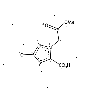 COC(=O)Cn1nc(C)cc1C(=O)O